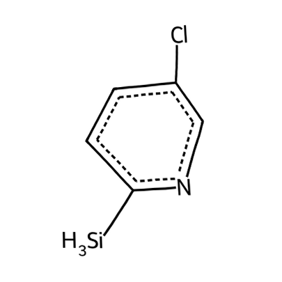 [SiH3]c1ccc(Cl)cn1